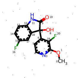 COc1nccc(C2(O)C(=O)Nc3ccc(F)cc32)c1F